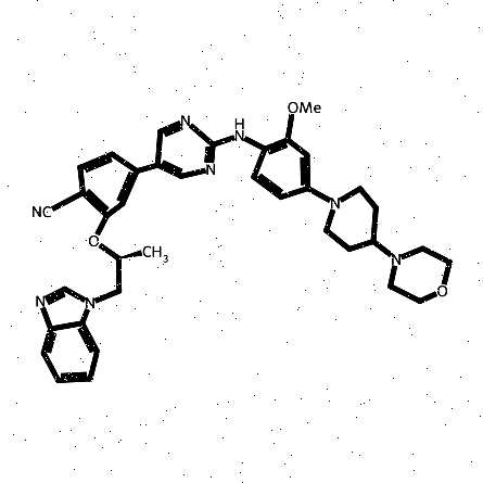 COc1cc(N2CCC(N3CCOCC3)CC2)ccc1Nc1ncc(-c2ccc(C#N)c(O[C@@H](C)Cn3cnc4ccccc43)c2)cn1